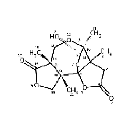 CC12CC(=O)OC13C[C@H](O)[C@@]2(C)OC[C@@]1(C)C(=O)OC[C@@]31C